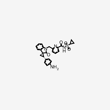 Nc1ccc([C@@H]2C[C@@]23C(=O)N(Cc2cccc(C(=O)NS(=O)(=O)C4CC4)n2)c2ccccc23)cc1